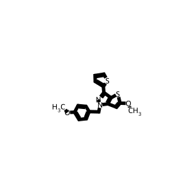 COc1ccc(Cn2nc(-c3cccs3)c3sc(OC)cc32)cc1